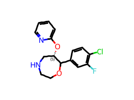 Fc1cc(C2OCCNC[C@@H]2Oc2ccccn2)ccc1Cl